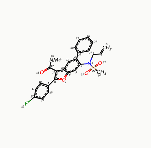 C=CCN(c1cc2oc(-c3ccc(F)cc3)c(C(=O)NC)c2cc1-c1ccccc1)S(C)(=O)=O